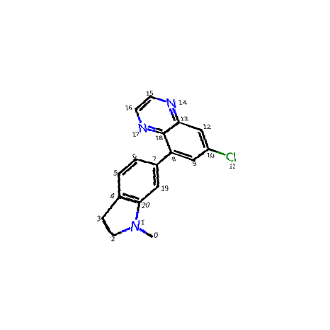 CN1CCc2ccc(-c3cc(Cl)cc4nccnc34)cc21